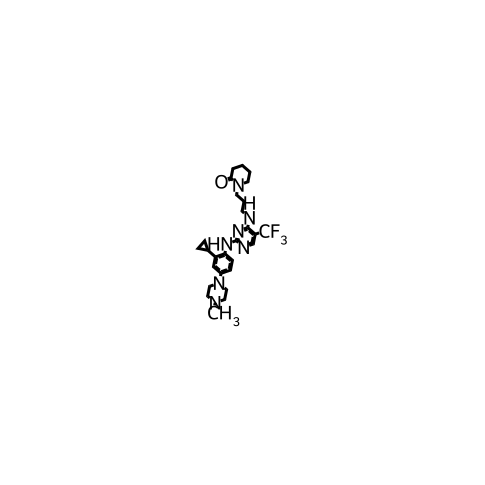 CN1CCN(c2ccc(Nc3ncc(C(F)(F)F)c(NCCCN4CCCCC4=O)n3)c(C3CC3)c2)CC1